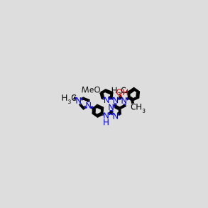 COc1ccc(N2c3nc(Nc4ccc(N5CCN(C)CC5)cc4)ncc3CN(c3c(C)cccc3C)C2O)nc1